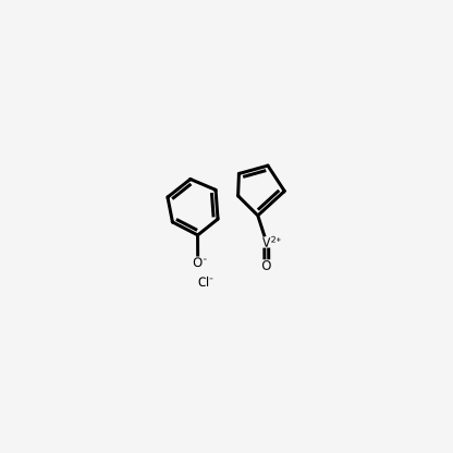 [Cl-].[O-]c1ccccc1.[O]=[V+2][C]1=CC=CC1